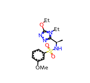 CCOc1nnc([C@@H](C)NS(=O)(=O)c2cccc(OC)c2)n1CC